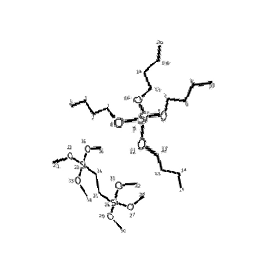 CCCCO[Si](OCCCC)(OCCCC)OCCCC.CO[Si](CC[Si](OC)(OC)OC)(OC)OC